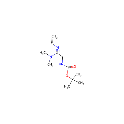 C=C/N=C(/CNC(=O)OC(C)(C)C)N(C)C